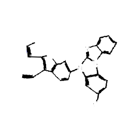 C=Cc1c(/C=C\C)oc2cc(-n3c4cc(Cl)ccc4n4c5ccccc5nc34)ccc12